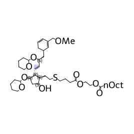 CCCCCCCCC(=O)OCCOC(=O)CCCSCC[C@@H]1[C@@H](/C=C/[C@H](CC2C=C(COC)C=CC2)OC2CCCCO2)[C@H](OC2CCCCO2)C[C@@H]1O